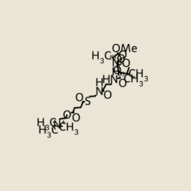 COC(=O)[C@H](C)NP1(=O)OCC(C)(C)[C@H](C(=O)NCCC(=O)NCCSC(=O)CCC(=O)OCC[N+](C)(C)C)O1